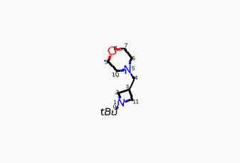 CC(C)(C)N1CC(CN2CCOCC2)C1